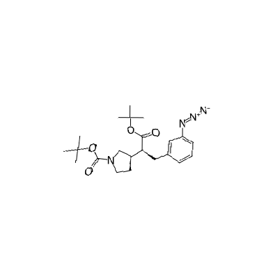 CC(C)(C)OC(=O)[C@@H](Cc1cccc(N=[N+]=[N-])c1)[C@H]1CCN(C(=O)OC(C)(C)C)C1